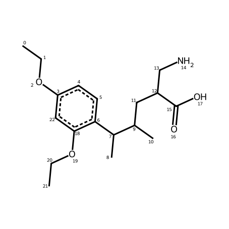 CCOc1ccc(C(C)C(C)CC(CN)C(=O)O)c(OCC)c1